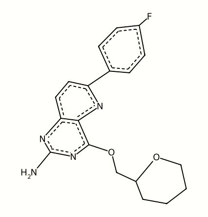 Nc1nc(OCC2CCCCO2)c2nc(-c3ccc(F)cc3)ccc2n1